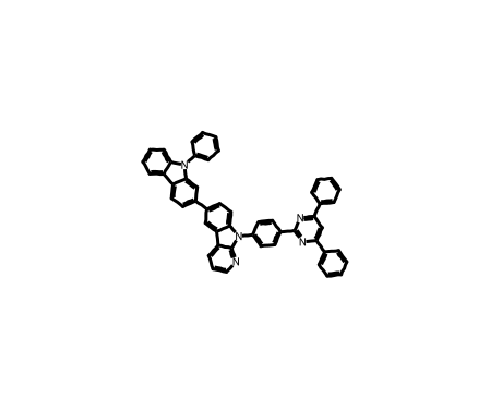 c1ccc(-c2cc(-c3ccccc3)nc(-c3ccc(-n4c5ccc(-c6ccc7c8ccccc8n(-c8ccccc8)c7c6)cc5c5cccnc54)cc3)n2)cc1